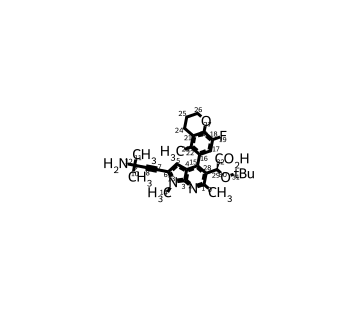 Cc1nc2c(cc(C#CC(C)(C)N)n2C)c(-c2cc(F)c3c(c2C)CCCO3)c1[C@H](OC(C)(C)C)C(=O)O